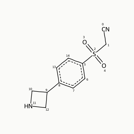 N#CCS(=O)(=O)c1ccc(C2CNC2)cc1